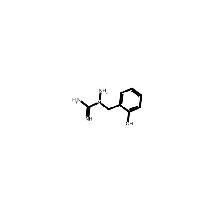 N=C(N)N(N)Cc1ccccc1O